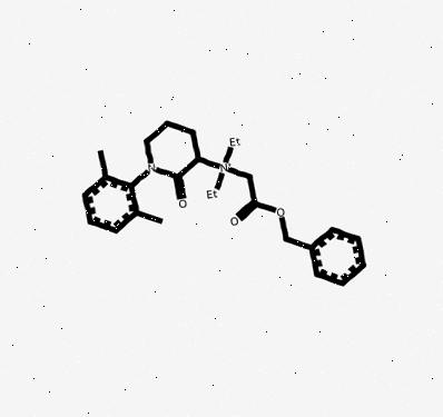 CC[N+](CC)(CC(=O)OCc1ccccc1)C1CCCN(c2c(C)cccc2C)C1=O